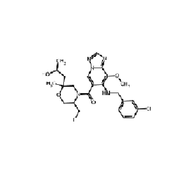 COc1c(NCc2cccc(Cl)c2)c(C(=O)N2CC(C)(CC(C)O)OCC2CF)cn2ncnc12